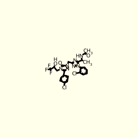 CC(=O)NC(C)c1nc(Cn2nc(-c3ccc(Cl)cc3)n(CC(O)C(F)(F)F)c2=O)nn1-c1ccccc1Cl